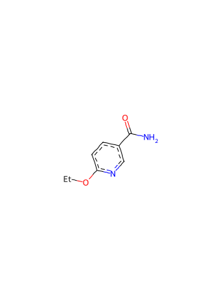 CCOc1ccc(C(N)=O)cn1